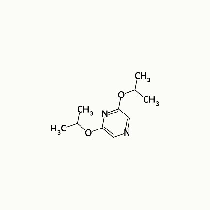 CC(C)Oc1cncc(OC(C)C)n1